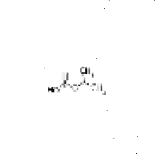 CC(C)OBO